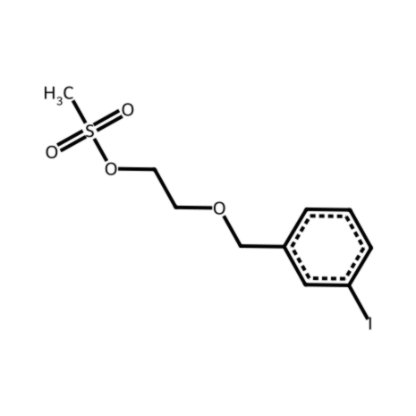 CS(=O)(=O)OCCOCc1cccc(I)c1